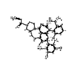 C=CC(=O)N1CCN2c3nc(=O)n(-c4c(C)ccnc4C(C)C)c4nc(-c5c(N)c(Cl)cc(Cl)c5F)c(F)c(c34)OCC2C1